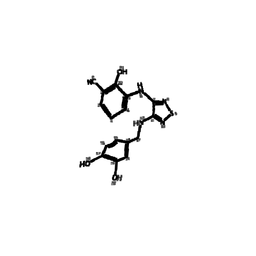 N#Cc1cccc(Nc2nsnc2NCc2ccc(O)c(O)c2)c1O